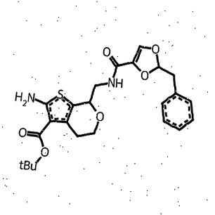 CC(C)(C)OC(=O)c1c(N)sc2c1CCOC2CNC(=O)C1=COC(Cc2ccccc2)O1